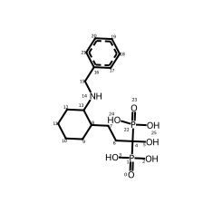 O=P(O)(O)C(O)(CCC1CCCCC1NCc1ccccc1)P(=O)(O)O